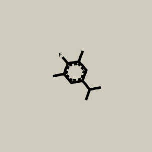 Cc1cc(C(C)C)cc(C)c1F